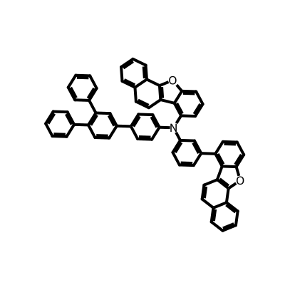 c1ccc(-c2ccc(-c3ccc(N(c4cccc(-c5cccc6oc7c8ccccc8ccc7c56)c4)c4cccc5oc6c7ccccc7ccc6c45)cc3)cc2-c2ccccc2)cc1